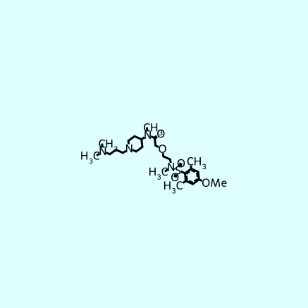 COc1cc(C)c(S(=O)(=O)N(C)CCOCC(=O)N(C)C2CCN(CCCN(C)C)CC2)c(C)c1